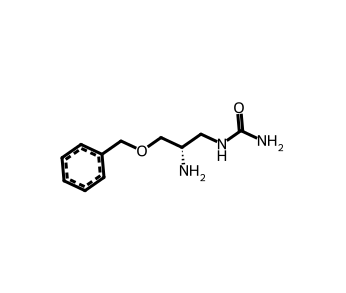 NC(=O)NC[C@H](N)COCc1ccccc1